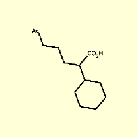 CC(=O)CCCC(C(=O)O)C1CCCCC1